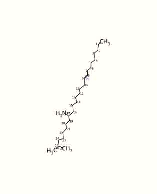 CCCCCCCC/C=C/CCCCCCCC(N)CCCCCCC(C)C